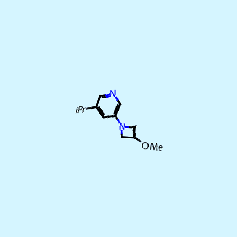 COC1CN(c2cncc(C(C)C)c2)C1